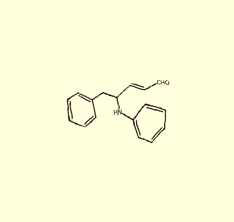 O=CC=CC(Cc1ccccc1)Nc1ccccc1